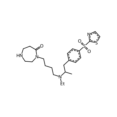 CCN(CCCCN1CCNCCC1=O)C(C)Cc1ccc(S(=O)(=O)c2nccs2)cc1